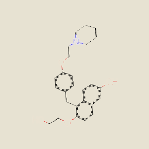 OCCOc1ccc2cc(O)ccc2c1Cc1ccc(OCCN2CCCCC2)cc1